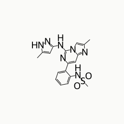 Cc1cn2c(Nc3cc(C)[nH]n3)nc(-c3ccccc3NS(C)(=O)=O)cc2n1